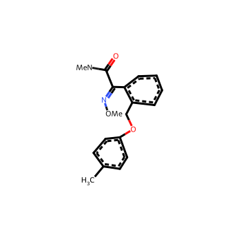 CNC(=O)/C(=N/OC)c1ccccc1COc1ccc(C)cc1